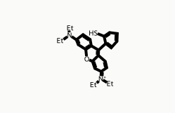 CCN(CC)c1ccc2c(-c3ccccc3S)c3ccc(=[N+](CC)CC)cc-3oc2c1